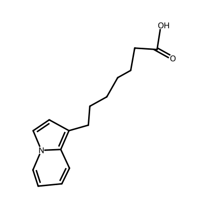 O=C(O)CCCCCCc1ccn2ccccc12